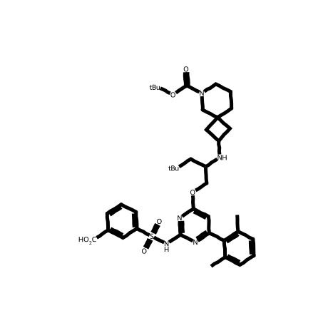 Cc1cccc(C)c1-c1cc(OCC(CC(C)(C)C)NC2CC3(CCCN(C(=O)OC(C)(C)C)C3)C2)nc(NS(=O)(=O)c2cccc(C(=O)O)c2)n1